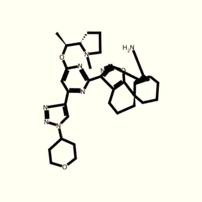 C[C@H](Oc1cc(-c2cn(C3CCOCC3)nn2)nc(-c2noc3c2CCC[C@@]32CCCc3sc(N)c(C#N)c32)n1)[C@@H]1CCCN1C